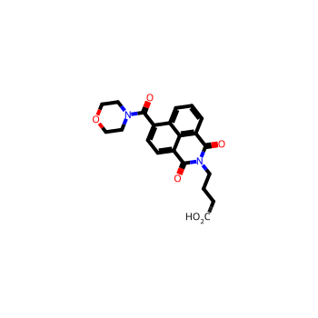 O=C(O)CCCN1C(=O)c2cccc3c(C(=O)N4CCOCC4)ccc(c23)C1=O